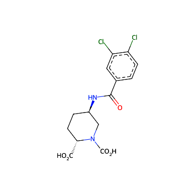 O=C(N[C@@H]1CC[C@@H](C(=O)O)N(C(=O)O)C1)c1ccc(Cl)c(Cl)c1